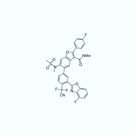 CNC(=O)c1c(-c2ccc(F)cc2)oc2cc(N(C)S(C)(=O)=O)c(-c3ccc(C(F)(F)C#N)c(-c4nc5c(F)cccc5o4)c3)cc12